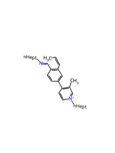 C/C=C\c1cc(-c2cc[n+](CCCCCCC)cc2C)ccc1/C=N/CCCCCCC